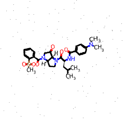 CC(C)C[C@H](NC(=O)c1ccc(N(C)C)cc1)C(=O)N1CC[C@@H]2[C@H]1C(=O)CN2C(=O)c1ccccc1S(C)(=O)=O